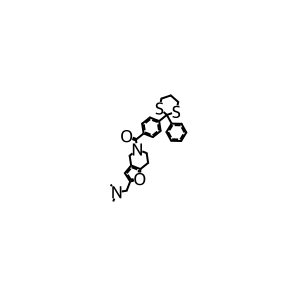 CN(C)Cc1cc2c(o1)CCN(C(=O)c1ccc(C3(c4ccccc4)SCCCS3)cc1)C2